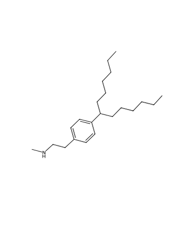 CCCCCCC(CCCCCC)c1ccc(CCNC)cc1